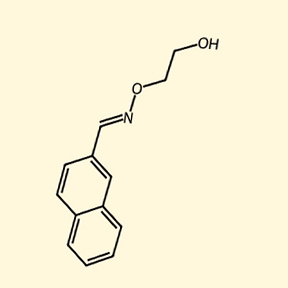 OCCON=Cc1ccc2ccccc2c1